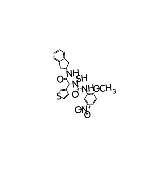 COc1ccc([N+](=O)[O-])cc1NC(=O)N(S)C(C(=O)NC1Cc2ccccc2C1)c1ccsc1